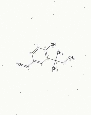 CCC(C)(C)c1cc(N=O)ccc1O